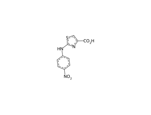 O=C(O)c1csc(Nc2ccc([N+](=O)[O-])cc2)n1